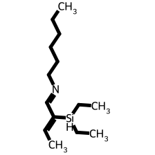 CC=C(C=NCCCCCC)[SiH](CC)CC